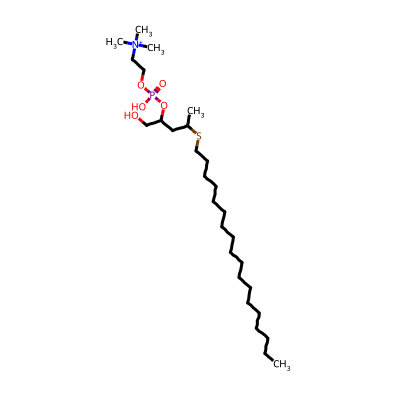 CCCCCCCCCCCCCCCCCCSC(C)CC(CO)OP(=O)(O)OCC[N+](C)(C)C